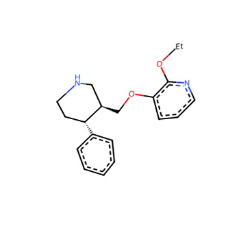 CCOc1ncccc1OC[C@@H]1CNCC[C@H]1c1ccccc1